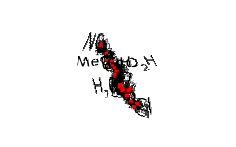 COC(=O)[C@H](Cc1ccc(-c2ccc(C#N)cc2)cc1)NC(=O)C1Cc2cc3c(cc2CN1C(=O)O)O[C@@H](c1ccc(OCc2ccc(Cl)c(Cl)c2)cc1)C(=O)N3C